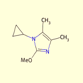 COc1nc(C)c(C)n1C1CC1